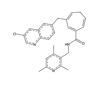 Cc1cc(C)c(CNC(=O)C2=CC(Cc3ccc4ncc(Cl)cc4c3)=CCC=C2)c(C)n1